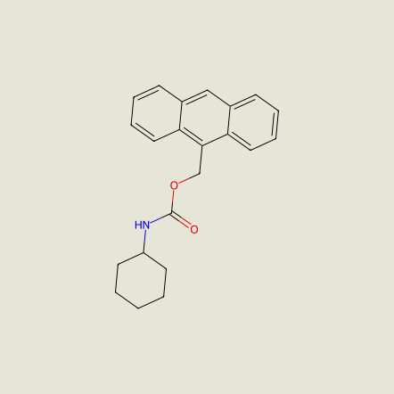 O=C(NC1CCCCC1)OCc1c2ccccc2cc2ccccc12